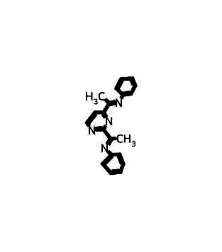 C/C(=N\c1ccccc1)c1ccnc(/C(C)=N/c2ccccc2)n1